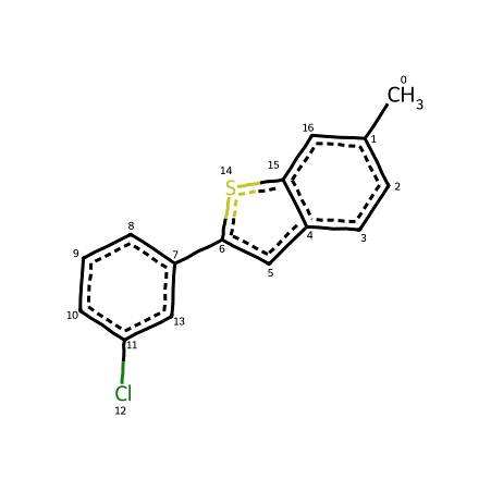 Cc1ccc2cc(-c3cccc(Cl)c3)sc2c1